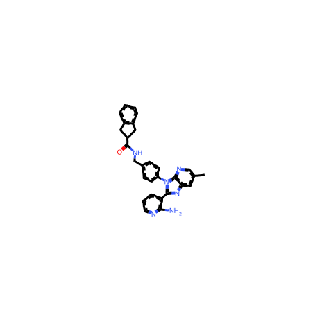 Cc1cnc2c(c1)nc(-c1cccnc1N)n2-c1ccc(CNC(=O)C2Cc3ccccc3C2)cc1